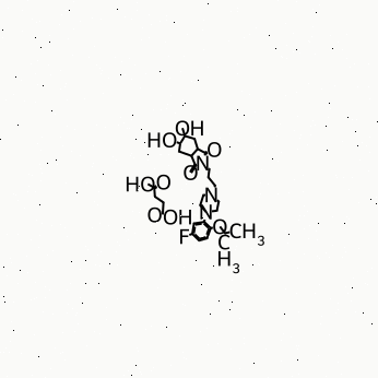 CC(C)Oc1ccc(F)cc1N1CCN(CCCN2C(=O)C3CC(O)C(O)CC3C2=O)CC1.O=C(O)CCC(=O)O